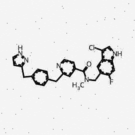 CN(Cc1cc2c(Cl)c[nH]c2cc1F)C(=O)c1ccnc(Cc2ccc(Cc3cc[nH]n3)cc2)c1